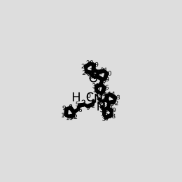 C=C(/C=C\C=C/Cc1ccccc1)N(c1ccc(-c2cccc3c2oc2ccccc23)cc1)c1nc2ccccc2c2ccccc12